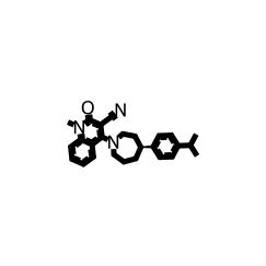 CC(C)c1ccc([C@H]2CCCN(c3c(C#N)c(=O)n(C)c4ccccc34)CC2)cc1